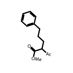 COC(=O)C(CCCc1ccccc1)C(C)=O